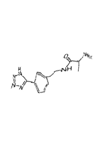 CCCCCCC(C)C(=O)NCc1cccc(-c2nnn[nH]2)c1